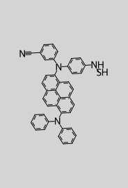 N#Cc1cccc(N(c2ccc(NS)cc2)c2ccc3ccc4c(N(c5ccccc5)c5ccccc5)ccc5ccc2c3c54)c1